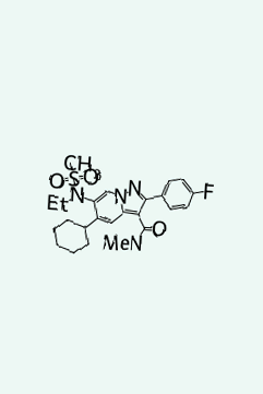 CCN(c1cn2nc(-c3ccc(F)cc3)c(C(=O)NC)c2cc1C1CCCCC1)S(C)(=O)=O